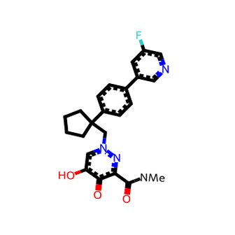 CNC(=O)c1nn(CC2(c3ccc(-c4cncc(F)c4)cc3)CCCC2)cc(O)c1=O